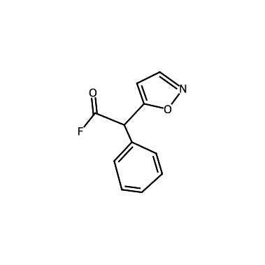 O=C(F)C(c1ccccc1)c1ccno1